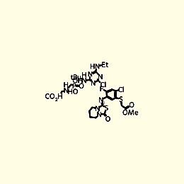 CCNc1nc(Cl)nc(NC(C)(C)C)n1.COC(=O)CSc1cc(/N=c2\sc(=O)n3n2CCCC3)c(F)cc1Cl.O=C(O)CNCP(=O)(O)O